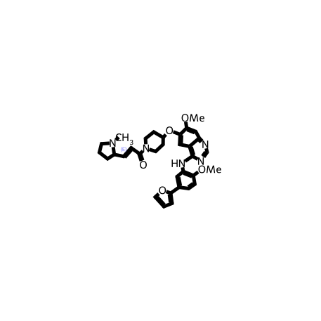 COc1ccc(-c2ccco2)cc1Nc1ncnc2cc(OC)c(OC3CCN(C(=O)/C=C/C4CCCN4C)CC3)cc12